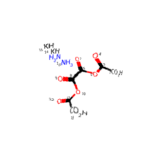 N.N.O=C(O)C(=O)OC(=O)C(=O)OC(=O)C(=O)O.[KH].[KH]